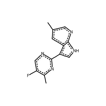 Cc1cnc2[nH]cc(-c3ncc(F)c(C)n3)c2c1